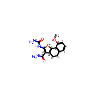 CCOc1cccc2c1-c1sc(NC(N)=O)c(C(N)=O)c1CC2